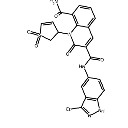 CCc1n[nH]c2ccc(NC(=O)c3cc4cccc(C(N)=O)c4n(C4C=CS(=O)(=O)C4)c3=O)cc12